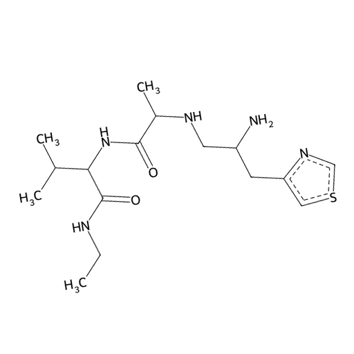 CCNC(=O)C(NC(=O)C(C)NCC(N)Cc1cscn1)C(C)C